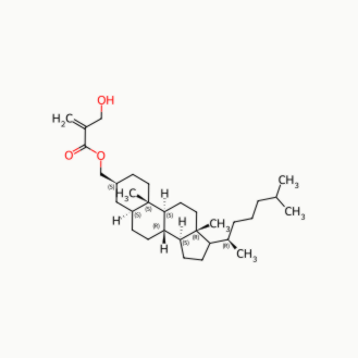 C=C(CO)C(=O)OC[C@H]1CC[C@@]2(C)[C@@H](CC[C@@H]3[C@@H]2CC[C@]2(C)C([C@H](C)CCCC(C)C)CC[C@@H]32)C1